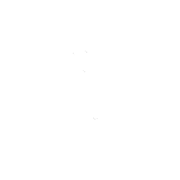 O=[N+]([O-])c1ccc(-n2cnnc2)cc1.[Cu]